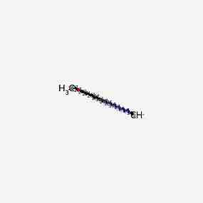 [CH]=C/C=C/C=C/C=C/C=C/C=C/C=C/C=C/CCCCCCCCCCCCC